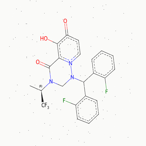 C[C@@H](N1CN(C(c2ccccc2F)c2ccccc2F)n2ccc(=O)c(O)c2C1=O)C(F)(F)F